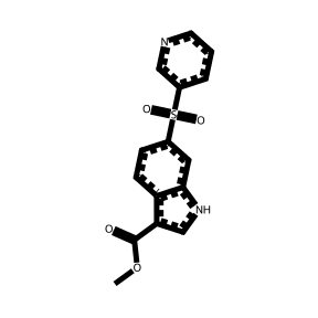 COC(=O)c1c[nH]c2cc(S(=O)(=O)c3cccnc3)ccc12